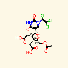 CC(=O)OC[C@@H]1O[C@H](c2cn(C(Cl)=C(Cl)Cl)c(=O)[nH]c2=O)[C@@H](CC(=O)O)[C@H]1CC(=O)O